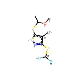 CC(C)OC(C)Sc1snc(SC(F)F)c1C#N